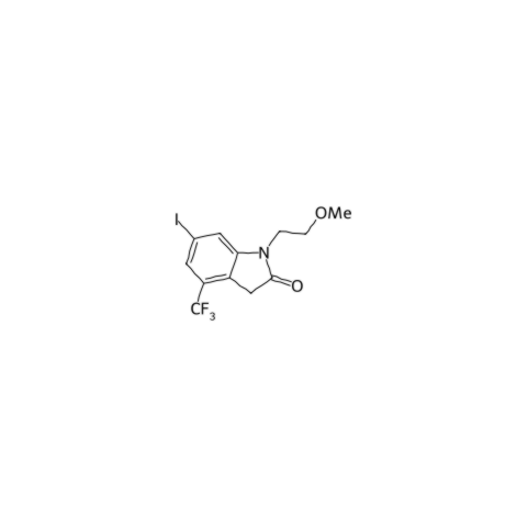 COCCN1C(=O)Cc2c1cc(I)cc2C(F)(F)F